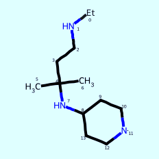 CCNCCC(C)(C)NC1CC[N]CC1